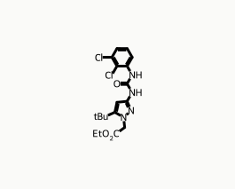 CCOC(=O)Cn1nc(NC(=O)Nc2cccc(Cl)c2Cl)cc1C(C)(C)C